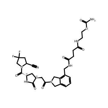 N#CC1CC(F)(F)CN1C(=O)[C@@H]1C[C@@H](CC(=O)N2Cc3cccc(CNC(=O)CCC(=O)NCCOC(N)=O)c3C2)C(=O)N1